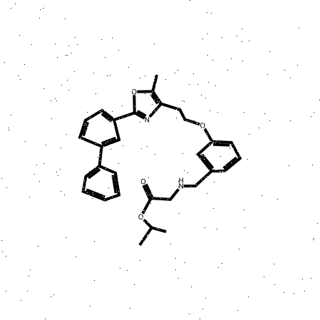 Cc1oc(-c2cccc(-c3ccccc3)c2)nc1CCOc1[c]c(CNCC(=O)OC(C)C)ccc1